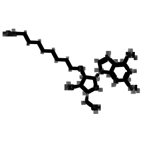 CCCCCCCCCCCCCCCCCCO[C@@H]1[C@H](O)[C@@H](CO)O[C@H]1n1cnc2c(N)nc(N)nc21